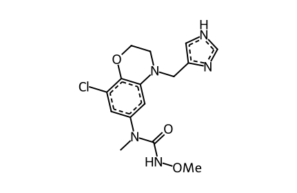 CONC(=O)N(C)c1cc(Cl)c2c(c1)N(Cc1c[nH]cn1)CCO2